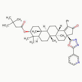 CC(C)C1=C2[C@H]3CC[C@@H]4[C@@]5(C)CC[C@H](OC(=O)CC(C)(C)C(=O)O)C(C)(C)[C@@H]5CC[C@@]4(C)[C@]3(C)CC[C@@]2(c2nnc(-c3cccnc3)o2)CC1=O